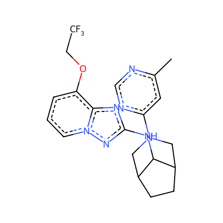 Cc1cc(N2CC3CCC(C2)C3Nc2nc3c(OCC(F)(F)F)cccn3n2)ncn1